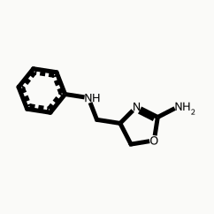 NC1=NC(CNc2ccccc2)CO1